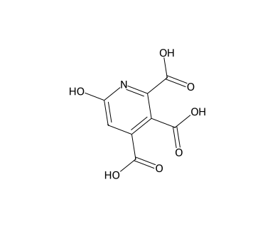 O=C(O)c1cc(O)nc(C(=O)O)c1C(=O)O